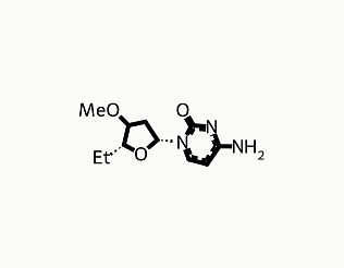 CC[C@H]1O[C@@H](n2ccc(N)nc2=O)CC1OC